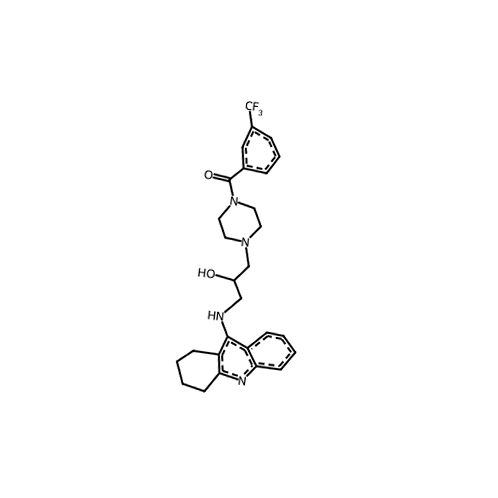 O=C(c1cccc(C(F)(F)F)c1)N1CCN(CC(O)CNc2c3c(nc4ccccc24)CCCC3)CC1